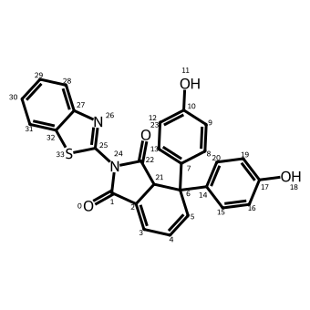 O=C1C2=CC=CC(c3ccc(O)cc3)(c3ccc(O)cc3)C2C(=O)N1c1nc2ccccc2s1